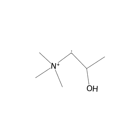 CC(O)[CH][N+](C)(C)C